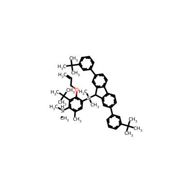 C=CCOc1c([Si](C)(C)C2c3cc(-c4cccc(C(C)(C)C)c4)ccc3-c3ccc(-c4cccc(C(C)(C)C)c4)cc32)cc(C)c([SiH](C)C)c1C(C)(C)C